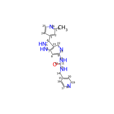 Cc1cc(C2NNc3cc(NC(=O)NCc4ccncc4)ncc32)ccn1